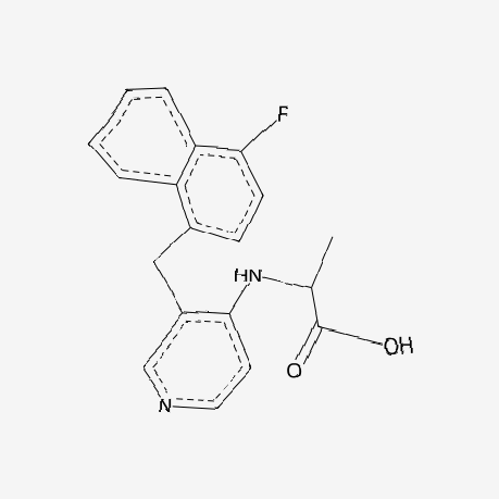 CC(Nc1ccncc1Cc1ccc(F)c2ccccc12)C(=O)O